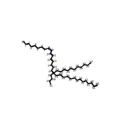 CCCCCCCC/C=C\CCCCCCCC(CCCC)(CCCCCCCCCCC)CCCCCCCCCCCCCC